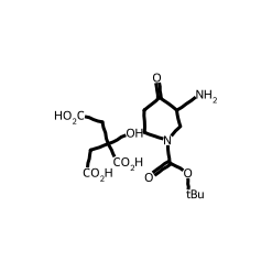 CC(C)(C)OC(=O)N1CCC(=O)C(N)C1.O=C(O)CC(O)(CC(=O)O)C(=O)O